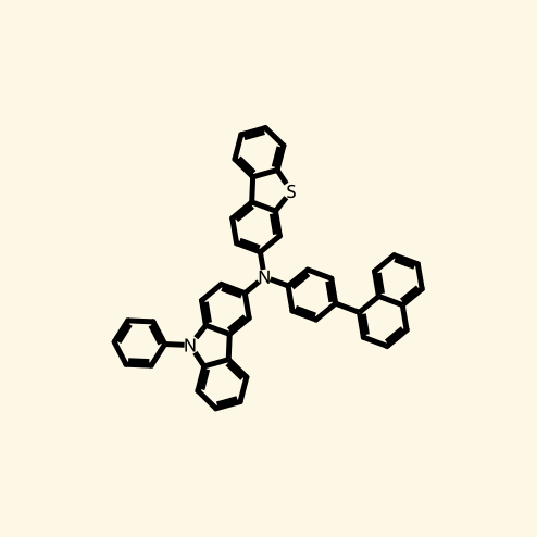 c1ccc(-n2c3ccccc3c3cc(N(c4ccc(-c5cccc6ccccc56)cc4)c4ccc5c(c4)sc4ccccc45)ccc32)cc1